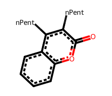 CCCCCc1c(CCCCC)c2ccccc2oc1=O